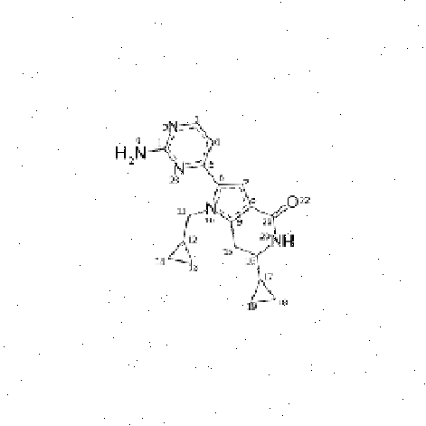 Nc1nccc(-c2cc3c(n2CC2CC2)CC(C2CC2)NC3=O)n1